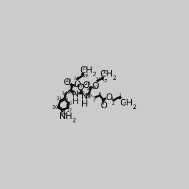 C=CCOC(=O)CC[C@H](NC(=O)N[C@@H](Cc1ccc(N)cc1)C(=O)OCC=C)C(=O)OCC=C